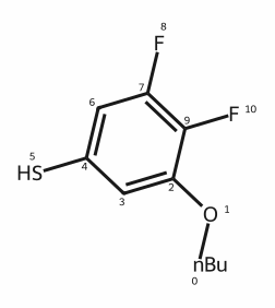 CCCCOc1cc(S)cc(F)c1F